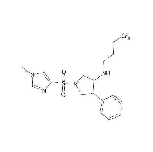 Cn1cnc(S(=O)(=O)N2CC(NCCCC(F)(F)F)C(c3ccccc3)C2)c1